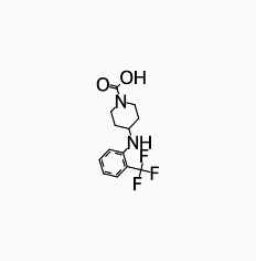 O=C(O)N1CCC(Nc2ccccc2C(F)(F)F)CC1